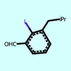 CC(C)Cc1cccc(C=O)c1I